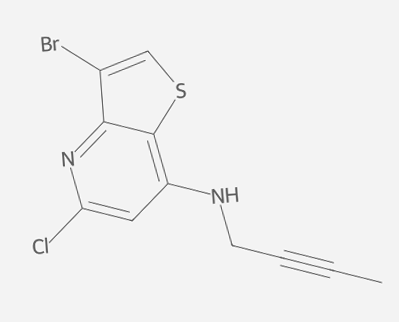 CC#CCNc1cc(Cl)nc2c(Br)csc12